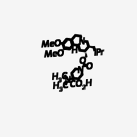 COc1cc2c(cc1OC)[C@H]1C[C@@H](COC(=O)N3CCC(C(=O)O)(N(C)C)CC3)[C@H](CC(C)C)CN1CC2